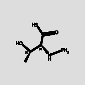 C[C@@H](O)[C@H](NP)C(=O)S